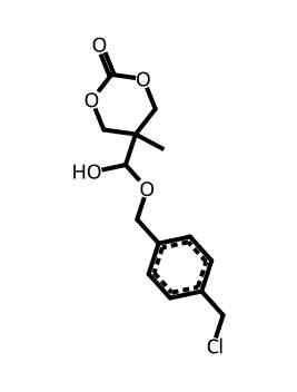 CC1(C(O)OCc2ccc(CCl)cc2)COC(=O)OC1